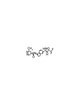 CC1CC(C(=O)N[C@@H]2CCc3cc(C4NOC(C(F)F)N4)ccc32)CN=N1